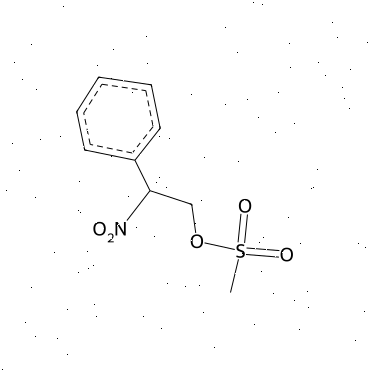 CS(=O)(=O)OCC(c1ccccc1)[N+](=O)[O-]